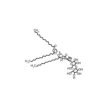 CCCCCCCCCCCCCCC(=O)N[C@H](CSC[C@@H](COC(=O)CCCCCCCCCCCCCC)OC(=O)CCCCCCCCCCCCCC)C(=O)Nc1cn([C@@H]2OC(CO)C(OC3OC(CO)C(O)C(O)C3O)C(O)C2O)nn1